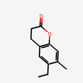 CCc1cc2c(cc1C)OC(=O)CC2